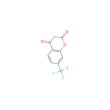 O=C1CC(=O)c2ccc(C(F)(F)F)cc2O1